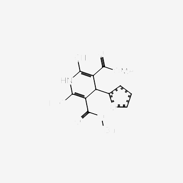 CCC(C)OC(=O)C1=C(C)NC(C)=C(C(=O)OC)C1c1ccco1